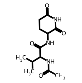 CC(=O)NC(C(=O)NC1CCC(=O)NC1=O)C(C)C